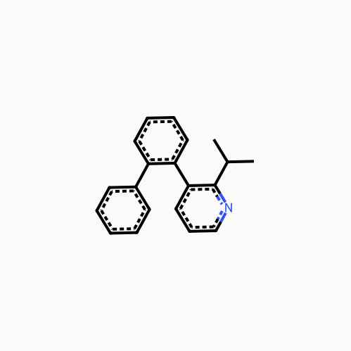 CC(C)c1ncccc1-c1ccccc1-c1ccccc1